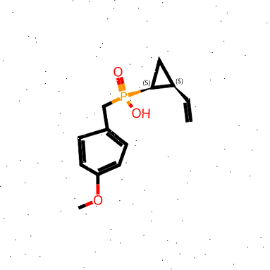 C=C[C@@H]1C[C@@H]1P(=O)(O)Cc1ccc(OC)cc1